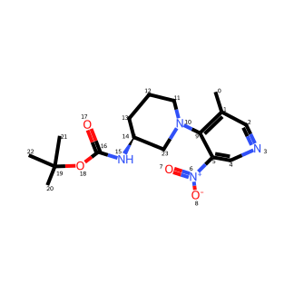 Cc1cncc([N+](=O)[O-])c1N1CCC[C@H](NC(=O)OC(C)(C)C)C1